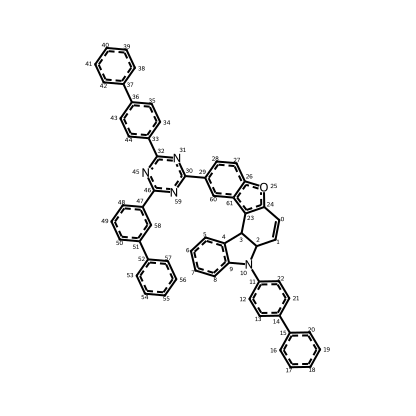 C1=CC2C(c3ccccc3N2c2ccc(-c3ccccc3)cc2)c2c1oc1ccc(-c3nc(-c4ccc(-c5ccccc5)cc4)nc(-c4cccc(-c5ccccc5)c4)n3)cc21